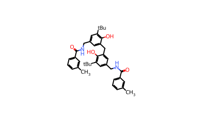 Cc1cccc(C(=O)NCc2cc(Cc3cc(CNC(=O)c4cccc(C)c4)cc(C(C)(C)C)c3O)c(O)c(C(C)(C)C)c2)c1